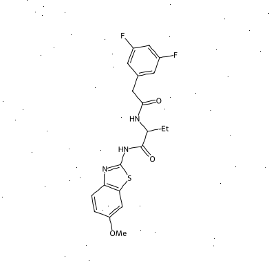 CCC(NC(=O)Cc1cc(F)cc(F)c1)C(=O)Nc1nc2ccc(OC)cc2s1